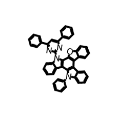 c1ccc(-c2cc(-c3ccccc3)nc(-n3c4ccccc4c4c3c3oc5ccccc5c3c3c5ccccc5n(-c5ccccc5)c34)n2)cc1